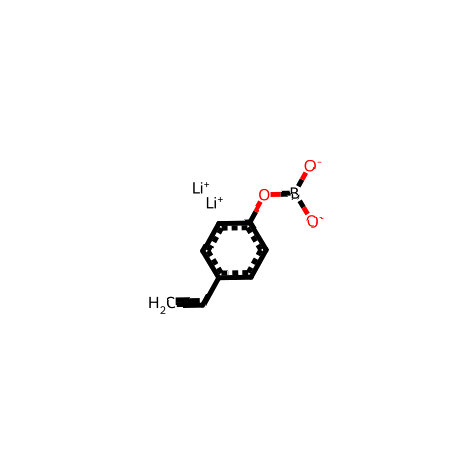 C=Cc1ccc(OB([O-])[O-])cc1.[Li+].[Li+]